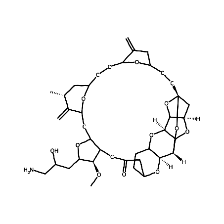 C=C1CC2CC[C@@]34C[C@H]5OC6[C@@H](OC7CCC(CC(=O)CC8C(CC9OC(CCC1O2)C[C@@H](C)C9=C)OC(CC(O)CN)[C@@H]8OC)O[C@@H]7[C@@H]6O3)C5O4